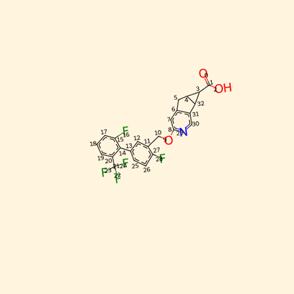 O=C(O)C1C2Cc3cc(OCc4cc(-c5c(F)cccc5C(F)(F)F)ccc4F)ncc3C21